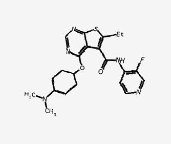 CCc1sc2ncnc(OC3CCC(N(C)C)CC3)c2c1C(=O)Nc1ccncc1F